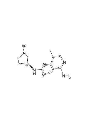 CC(=O)N1CC[C@H](Nc2ncc3c(N)ncc(C)c3n2)C1